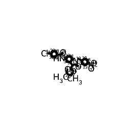 CC1(C)COC(C2C(=O)N(Cc3ccc([N+](=O)[O-])cc3)c3ccc(NC(=O)c4ccc(Cl)cc4)cc32)OC1